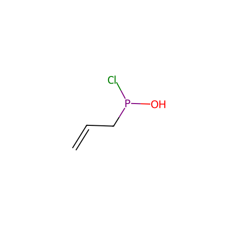 C=CCP(O)Cl